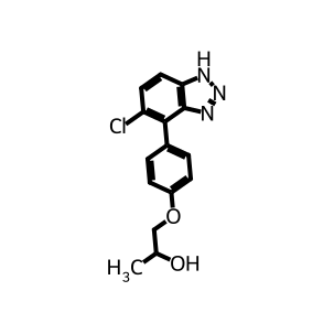 CC(O)COc1ccc(-c2c(Cl)ccc3[nH]nnc23)cc1